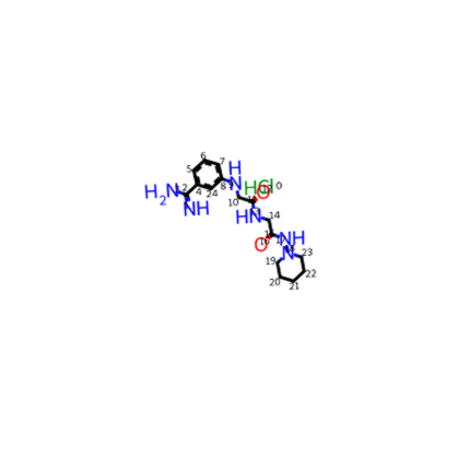 Cl.N=C(N)c1cccc(NCC(=O)NCC(=O)NN2CCCCC2)c1